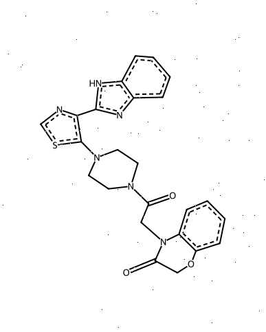 O=C(CN1C(=O)COc2ccccc21)N1CCN(c2scnc2-c2nc3ccccc3[nH]2)CC1